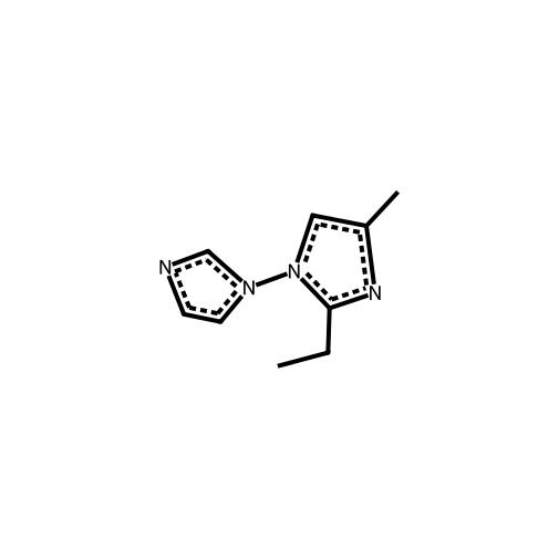 CCc1nc(C)cn1-n1ccnc1